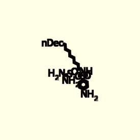 CCCCCCCCCCCCCCCCCC(=O)NS(=O)(=O)c1ccc(N)cc1.NC(N)=S